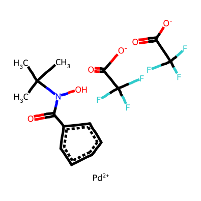 CC(C)(C)N(O)C(=O)c1ccccc1.O=C([O-])C(F)(F)F.O=C([O-])C(F)(F)F.[Pd+2]